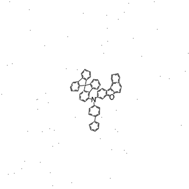 c1ccc(-c2ccc(N(c3ccc4c(c3)oc3ccc5ccccc5c34)c3cccc4c3-c3ccccc3C43c4ccccc4-c4ccccc43)cc2)cc1